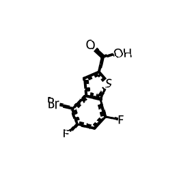 O=C(O)c1cc2c(Br)c(F)cc(F)c2s1